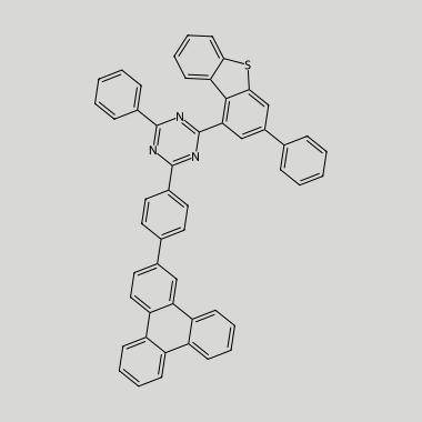 c1ccc(-c2cc(-c3nc(-c4ccccc4)nc(-c4ccc(-c5ccc6c7ccccc7c7ccccc7c6c5)cc4)n3)c3c(c2)sc2ccccc23)cc1